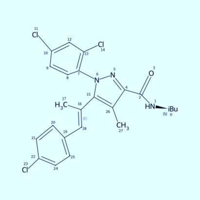 CC[C@H](C)NC(=O)c1nn(-c2ccc(Cl)cc2Cl)c(/C(C)=C/c2ccc(Cl)cc2)c1C